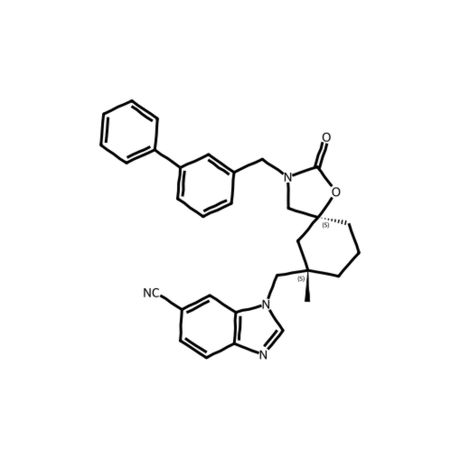 C[C@]1(Cn2cnc3ccc(C#N)cc32)CCC[C@@]2(CN(Cc3cccc(-c4ccccc4)c3)C(=O)O2)C1